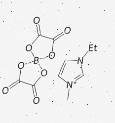 CCn1cc[n+](C)c1.O=C1O[B-]2(OC1=O)OC(=O)C(=O)O2